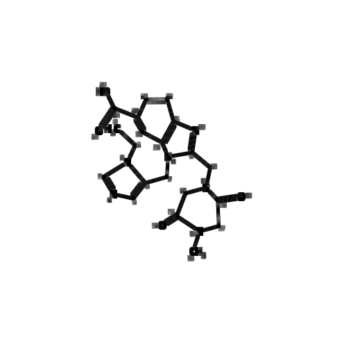 CCn1cncc1Cn1c(CN2CC(=O)N(C)CC2=O)nc2ccc(C(=O)O)cc21